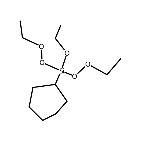 CCOO[Si](OCC)(OOCC)C1CCCCC1